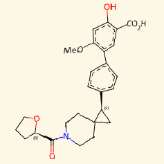 COc1cc(O)c(C(=O)O)cc1-c1ccc([C@H]2CC23CCN(C(=O)[C@H]2CCCO2)CC3)cc1